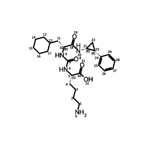 NCCCC[C@H](NC(=O)N[C@H](CC1CCCCC1)C(=O)N[C@@H]1C[C@@H]1c1ccccc1)C(=O)O